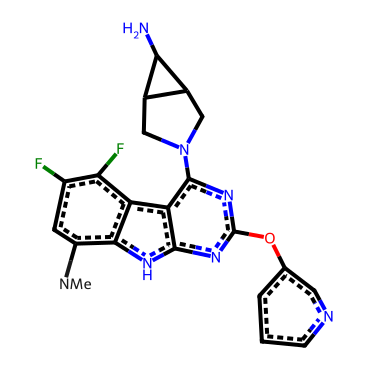 CNc1cc(F)c(F)c2c1[nH]c1nc(Oc3cccnc3)nc(N3CC4C(N)C4C3)c12